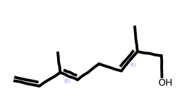 C=C/C(C)=C/C/C=C(\C)CO